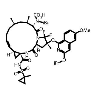 CCC(C)N(C(=O)O)[C@@H]1C(=O)N2[C@@H](C[C@@](C)(Oc3nc(OC(C)C)cc4cc(OC)ccc34)C2(F)F)C(=O)N[C@]2(C(=O)NS(=O)(=O)C3(C)CC3)C[C@H]2/C=C\CC[C@@H](C)C[C@H]1C